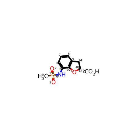 CS(=O)(=O)Nc1cccc2c1O[C@@H](C(=O)O)C2